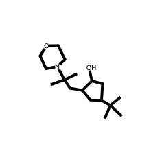 CC(C)(C)C1CC(O)C(CC(C)(C)N2CCOCC2)C1